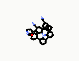 N#Cc1ccc(-c2cccc3c4cccc(-c5ccc(C#N)cc5)c4n(-c4cc(-c5ccncc5)c(C#N)cc4-c4ccccc4)c23)cc1